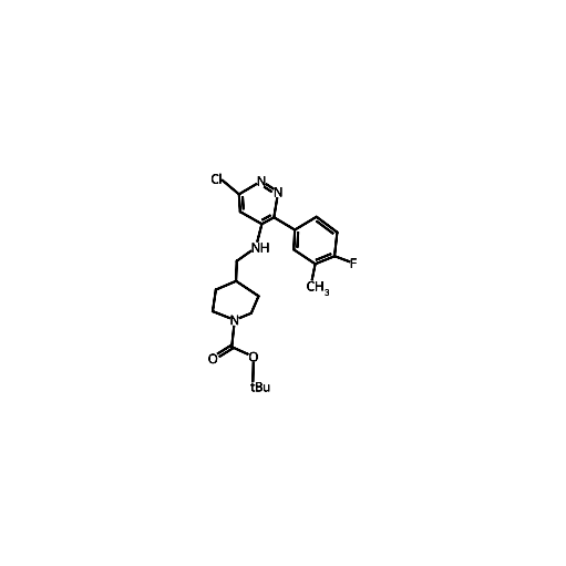 Cc1cc(-c2nnc(Cl)cc2NCC2CCN(C(=O)OC(C)(C)C)CC2)ccc1F